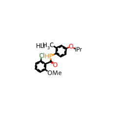 COc1cccc(Cl)c1C(=O)Pc1ccc(OC(C)C)cc1C.[LiH]